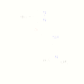 CN(C)CCNC1COc2c(C(C)(C)C)cnn2C1